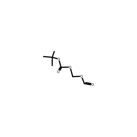 CC(C)(C)OC(=O)OCO[C]=O